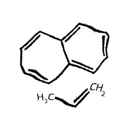 C=CC.c1ccc2ccccc2c1